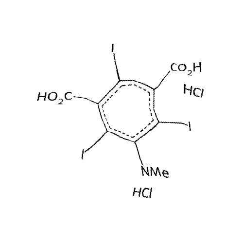 CNc1c(I)c(C(=O)O)c(I)c(C(=O)O)c1I.Cl.Cl